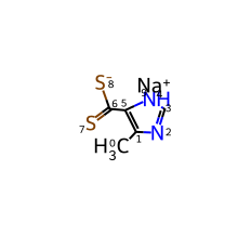 Cc1nc[nH]c1C(=S)[S-].[Na+]